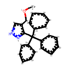 CCOCc1c[nH]nc1C(c1ccccc1)(c1ccccc1)c1ccccc1